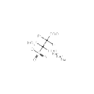 CCC(CC)(C(=O)[O-])C(C(=O)[O-])(S(=O)(=O)[O-])S(=O)(=O)O.[Na+].[Na+].[Na+]